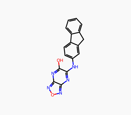 Oc1nc2nonc2nc1Nc1ccc2c(c1)Cc1ccccc1-2